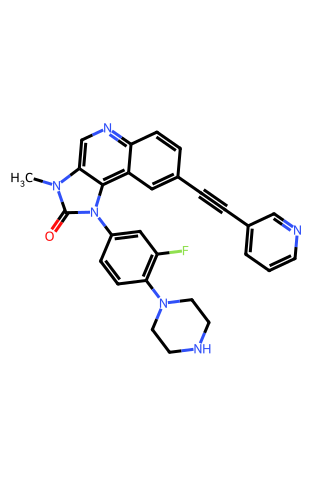 Cn1c(=O)n(-c2ccc(N3CCNCC3)c(F)c2)c2c3cc(C#Cc4cccnc4)ccc3ncc21